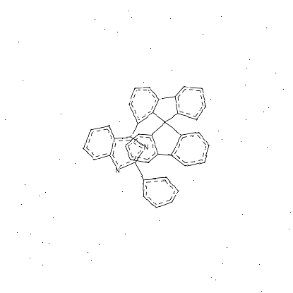 c1ccc(-c2nc(-c3cccc4c3C3(c5ccccc5-c5ccccc53)c3ccccc3-4)c3ccccc3n2)cc1